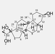 C[C@H](O)[C@@]1(O)CC[C@H]2[C@@H]3CC[C@@H]4C[C@H](O)CC[C@]4(C)[C@H]3CC[C@@]21C